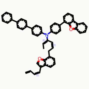 C=C/C=C\c1coc2c(C/C=C\C(=C/C)N(c3ccc(-c4ccc(-c5ccccc5)cc4)cc3)c3ccc(-c4cccc5c4oc4ccccc45)cc3)cccc12